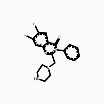 O=c1c2cc(F)c(F)cc2nc(CN2CCNCC2)n1-c1ccccc1